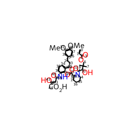 C=CC(=O)OCC(C)(C)C(O)C(=O)N1CCCC[C@H]1C(=O)O[C@H](CCc1ccc(OC)c(OC)c1)c1cccc(NC(=O)C[C@H](O)C(=O)O)c1